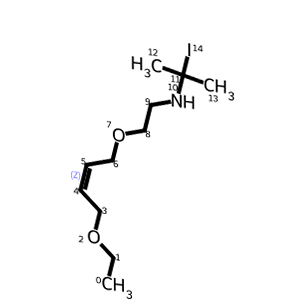 CCOC/C=C\COCCNC(C)(C)I